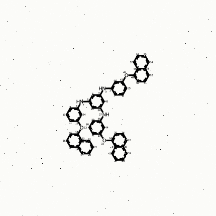 c1cc(Nc2cc(Nc3cccc(Oc4cccc5ccccc45)c3)cc(Nc3cccc(Oc4cccc5ccccc45)c3)c2)cc(Oc2cccc3ccccc23)c1